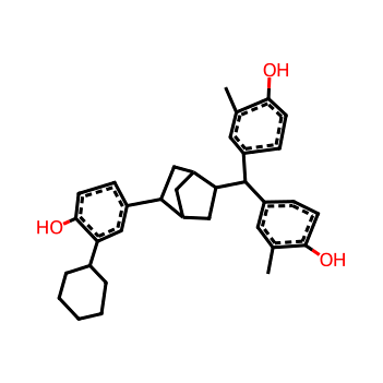 Cc1cc(C(c2ccc(O)c(C)c2)C2CC3CC2CC3c2ccc(O)c(C3CCCCC3)c2)ccc1O